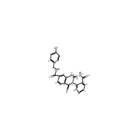 O=C(NCc1ccc(Cl)cc1)c1ccc2c(=O)n(-c3ncccc3C(=O)O)c(=S)[nH]c2c1